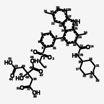 CCS(=O)(=O)c1cccc(-c2cc(C(=O)NC3CCN(C)CC3)c(C)c3[nH]c4ncc(C)cc4c23)c1.O=C(O)CC(O)(CC(=O)O)C(=O)O